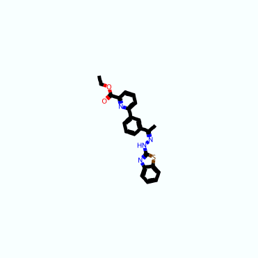 CCOC(=O)c1cccc(-c2cccc(C(C)=NNc3nc4ccccc4s3)c2)n1